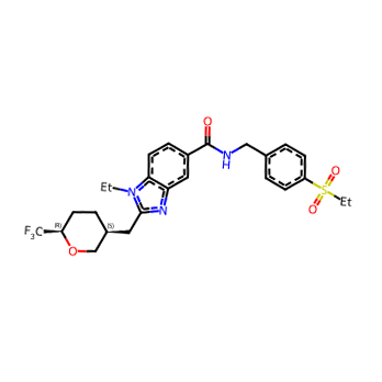 CCn1c(C[C@@H]2CC[C@H](C(F)(F)F)OC2)nc2cc(C(=O)NCc3ccc(S(=O)(=O)CC)cc3)ccc21